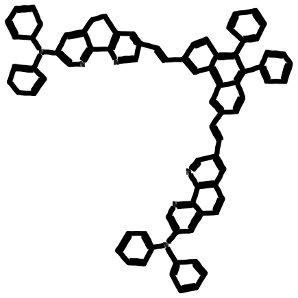 C1=CCC(N(C2=CCCC=C2)c2cnc3c(c2)CCc2cc(/C=C/c4ccc5c(-c6ccccc6)c(-c6ccccc6)c6ccc(/C=C/c7cnc8c(ccc9cc(N(c%10ccccc%10)c%10ccccc%10)cnc98)c7)cc6c5c4)cnc2-3)C=C1